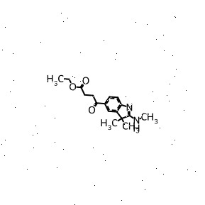 CCOC(=O)CCC(=O)c1ccc2c(c1)C(C)(C)C(NC)=N2